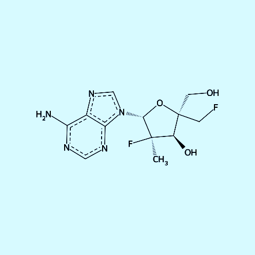 C[C@@]1(F)[C@H](O)[C@](CO)(CF)O[C@H]1n1cnc2c(N)ncnc21